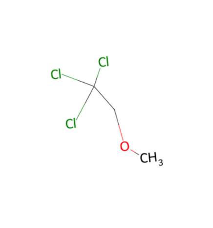 COCC(Cl)(Cl)Cl